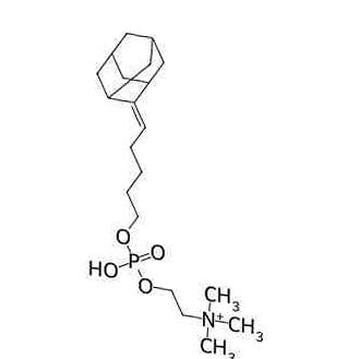 C[N+](C)(C)CCOP(=O)(O)OCCCCC=C1C2CC3CC(C2)CC1C3